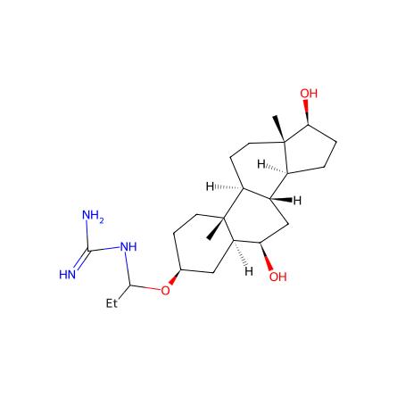 CCC(NC(=N)N)O[C@H]1CC[C@@]2(C)[C@H](C1)[C@H](O)C[C@@H]1[C@@H]2CC[C@]2(C)[C@@H](O)CC[C@@H]12